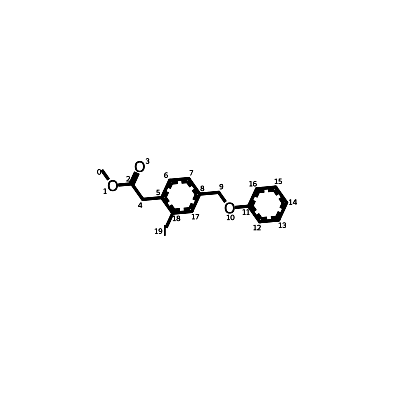 COC(=O)Cc1ccc(COc2ccccc2)cc1I